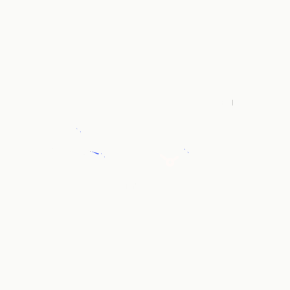 CCCc1cc(C2CCN([C@H]3CCCN3C)C2)on1.Cl